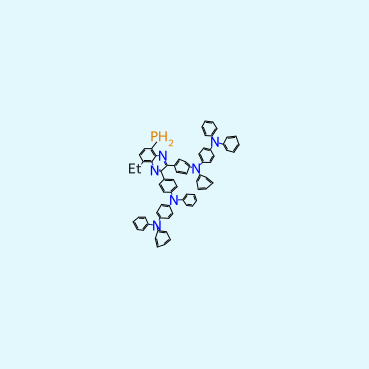 CCc1ccc(CP)c2nc(-c3ccc(N(c4ccccc4)c4ccc(N(c5ccccc5)c5ccccc5)cc4)cc3)c(-c3ccc(N(c4ccccc4)c4ccc(N(c5ccccc5)c5ccccc5)cc4)cc3)nc12